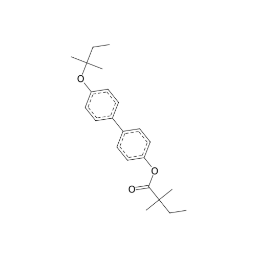 CCC(C)(C)Oc1ccc(-c2ccc(OC(=O)C(C)(C)CC)cc2)cc1